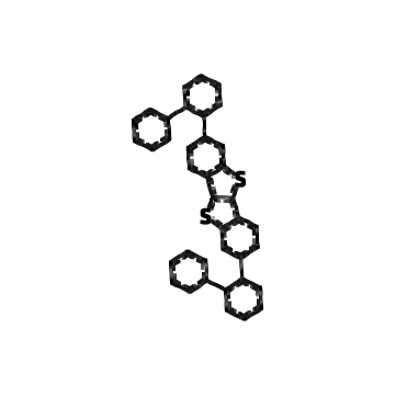 c1ccc(-c2ccccc2-c2ccc3c(c2)sc2c4ccc(-c5ccccc5-c5ccccc5)cc4sc32)cc1